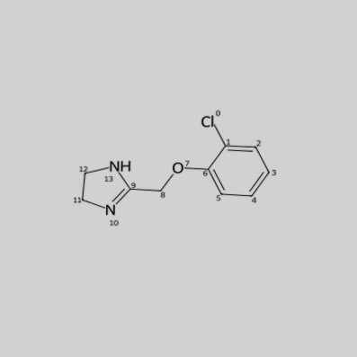 Clc1ccccc1OCC1=NCCN1